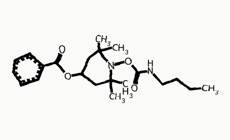 CCCCNC(=O)ON1C(C)(C)CC(OC(=O)c2ccccc2)CC1(C)C